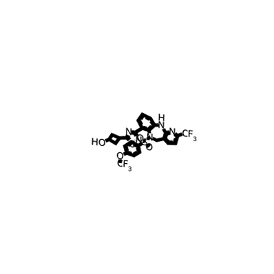 O=S(=O)(c1ccc(OC(F)(F)F)cc1)N1Cc2ccc(C(F)(F)F)nc2Nc2cccc(-c3noc(C4CC(O)C4)n3)c21